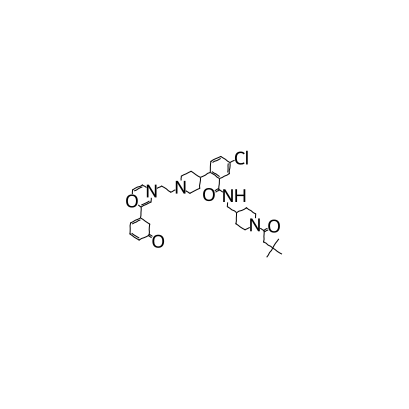 CC(C)(C)CC(=O)N1CCC(CNC(=O)c2cc(Cl)ccc2C2CCN(CCN3C=COC(C4=CC=CC(=O)C4)=C3)CC2)CC1